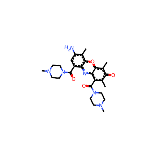 Cc1c2oc3c(C)c(N)cc(C(=O)N4CCN(C)CC4)c3nc-2c(C(=O)N2CCN(C)CC2)c(C)c1=O